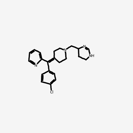 Clc1ccc(C(=C2CCN(CC3CCNC=N3)CC2)c2ccccn2)cc1